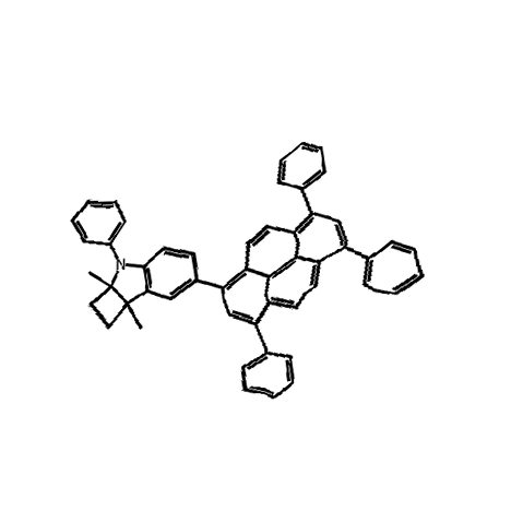 CC12CCC1(C)N(c1ccccc1)c1ccc(-c3cc(-c4ccccc4)c4ccc5c(-c6ccccc6)cc(-c6ccccc6)c6ccc3c4c56)cc12